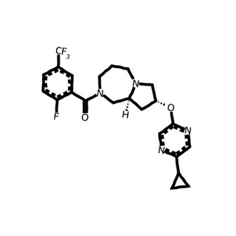 O=C(c1cc(C(F)(F)F)ccc1F)N1CCCN2C[C@H](Oc3cnc(C4CC4)cn3)C[C@H]2C1